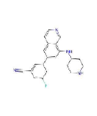 N#CC1=CC(c2cc(NC3CCNCC3)c3cnccc3c2)CC(F)=C1